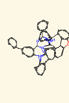 C1=CC(C2NC(c3ccccc3)=NC(c3cc(-c4ccccc4)ccc3-n3c4ccccc4c4ccccc43)N2)C2C(=C1)Oc1cccc(-c3ccccc3)c12